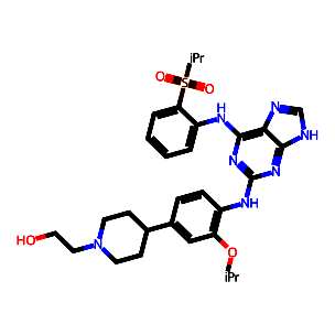 CC(C)Oc1cc(C2CCN(CCO)CC2)ccc1Nc1nc(Nc2ccccc2S(=O)(=O)C(C)C)c2nc[nH]c2n1